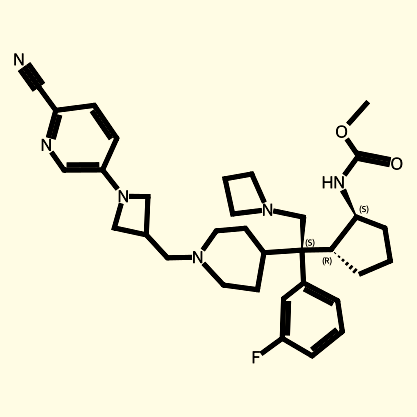 COC(=O)N[C@H]1CCC[C@@H]1[C@](CN1CCC1)(c1cccc(F)c1)C1CCN(CC2CN(c3ccc(C#N)nc3)C2)CC1